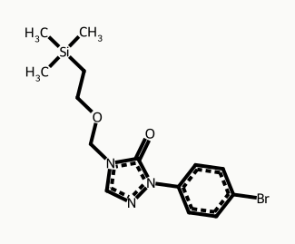 C[Si](C)(C)CCOCn1cnn(-c2ccc(Br)cc2)c1=O